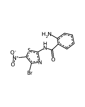 Nc1ccccc1C(=O)Nc1nc(Br)c([N+](=O)[O-])s1